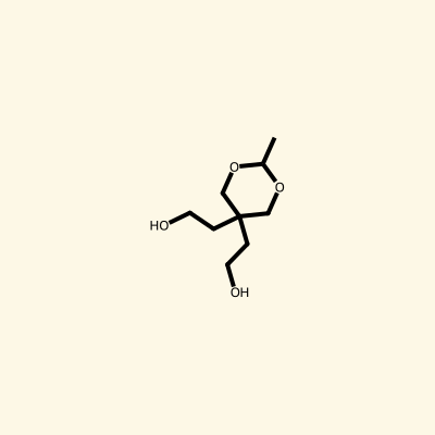 CC1OCC(CCO)(CCO)CO1